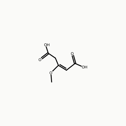 COC(=CC(=O)O)CC(=O)O